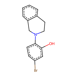 Oc1cc(Br)ccc1N1CCc2ccccc2C1